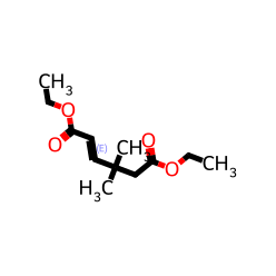 CCOC(=O)/C=C/C(C)(C)CC(=O)OCC